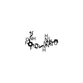 CN(C)CCNC(=O)c1cc(N2CCN(CCNc3nc(N)n4nc(-c5ccco5)nc4n3)CC2)c(F)cc1F